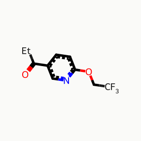 CCC(=O)c1ccc(OCC(F)(F)F)nc1